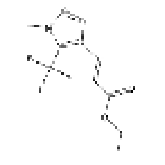 CCOC(=O)/C=C/c1cnn(C)c1C(F)(F)F